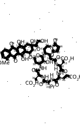 COc1cccc2c1C(=O)c1c(O)c3c(c(O)c1C2=O)C[C@@](O)(C(=O)CO)C[C@@H]3O[C@H]1C[C@H](NC(=O)[C@H](CC(=O)O)NC(=O)[C@@H](NC(=O)[C@H](CCC(=O)O)NC(=O)[C@H](CC(=O)O)NC(=O)CCCCCN2C(=O)C=CC2=O)C(C)C)[C@H](O)[C@H](C)O1